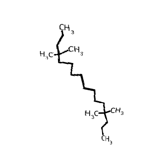 CCCC(C)(C)CCCCCCCCC(C)(C)CCC